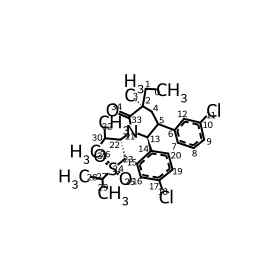 CC[C@@]1(C)CC(c2cccc(Cl)c2)[C@@H](c2ccc(Cl)cc2)N([C@H](CS(=O)(=O)C(C)C)C(C)C)C1=O